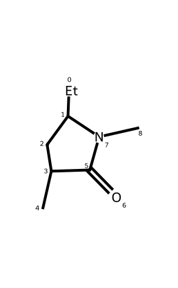 CCC1CC(C)C(=O)N1C